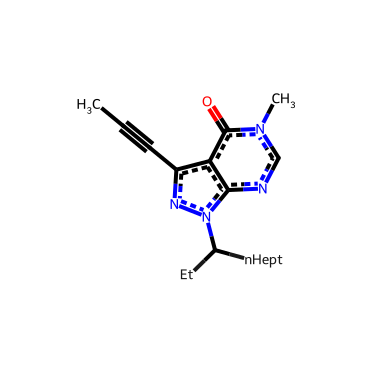 CC#Cc1nn(C(CC)CCCCCCC)c2ncn(C)c(=O)c12